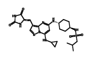 CC(C)CS(=O)(=O)N[C@H]1CC[C@H](Nc2cc(NC3CC3)n3ncc(/C=C4\NC(=O)NC4=O)c3n2)CC1